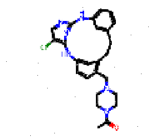 CC(=O)N1CCN(Cc2ccc3cc2CCc2cccc(c2)Nc2ncc(Cl)c(n2)N3)CC1